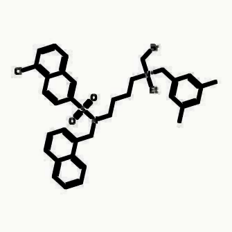 CC[N+](CBr)(CCCCN(Cc1cccc2ccccc12)S(=O)(=O)c1ccc2c(Cl)cccc2c1)Cc1cc(C)cc(C)c1